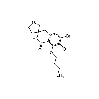 CCCCOc1c2n(cc(Br)c1=O)CC1(CCOC1)NC2=O